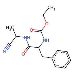 CCOC(=O)NC(Cc1ccccc1)C(=O)NC(C)C#N